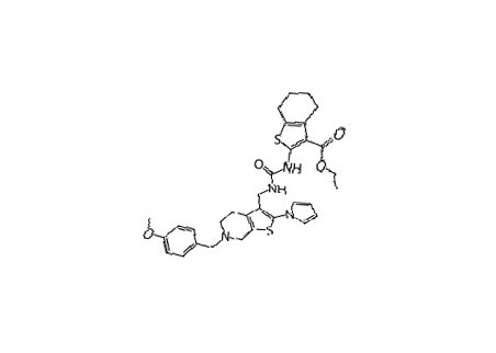 CCOC(=O)c1c(NC(=O)NCc2c(-n3cccc3)sc3c2CCN(Cc2ccc(OC)cc2)C3)sc2c1CCCC2